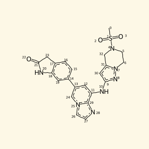 CS(=O)(=O)N1CCn2nc(Nc3cc(-c4ccc5c(c4)NC(=O)C5)cn4ccnc34)cc2C1